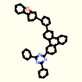 c1ccc(-c2nc(-c3ccccc3)nc(-c3ccc4c5ccccc5c5cc(-c6cccc(-c7ccc8c(c7)oc7ccccc78)c6)ccc5c4c3)n2)cc1